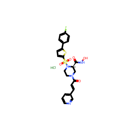 Cl.O=C(NO)[C@H]1CN(C(=O)C=Cc2cccnc2)CCN1S(=O)(=O)c1ccc(-c2ccc(F)cc2)s1